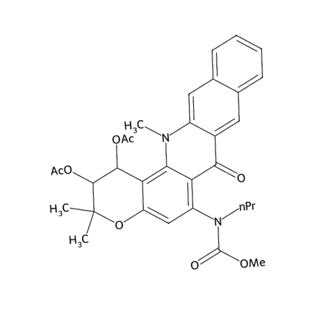 CCCN(C(=O)OC)c1cc2c(c3c1c(=O)c1cc4ccccc4cc1n3C)C(OC(C)=O)C(OC(C)=O)C(C)(C)O2